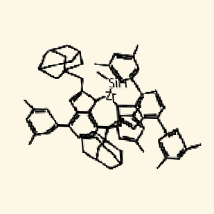 Cc1cc(C)cc(-c2ccc(-c3cc(C)cc(C)c3)c3c2C=C(CC24CC5CC(CC(C5)C2)C4)[CH]3[Zr]([CH]2C(CC34CC5CC(CC(C5)C3)C4)=Cc3c(-c4cc(C)cc(C)c4)ccc(-c4cc(C)cc(C)c4)c32)[SiH](C)C)c1